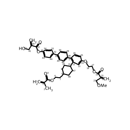 C=C(C)C(=O)OCCC1CCC(c2cc(OCCOC(=O)C(=C)COC)ccc2-c2ccc(-c3ccc(OC(=O)C(=C)CO)cc3)cc2)CC1